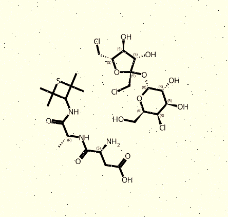 C[C@@H](NC(=O)[C@@H](N)CC(=O)O)C(=O)NC1C(C)(C)SC1(C)C.OC[C@H]1O[C@H](O[C@]2(CCl)O[C@H](CCl)[C@@H](O)[C@@H]2O)[C@H](O)[C@@H](O)[C@H]1Cl